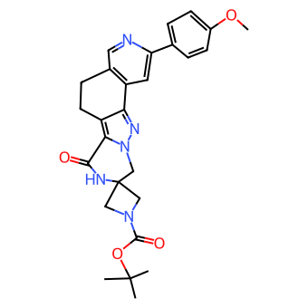 COc1ccc(-c2cc3c(cn2)CCc2c-3nn3c2C(=O)NC2(CN(C(=O)OC(C)(C)C)C2)C3)cc1